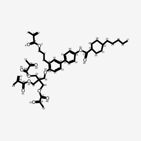 C=C(C)C(=O)OCCCc1cc(-c2ccc(OC(=O)C3CCC(CCCCC)CC3)cc2)ccc1OCC(COC(=O)C(=C)C)(COC(=O)C(C)=O)COC(=O)C(C)=O